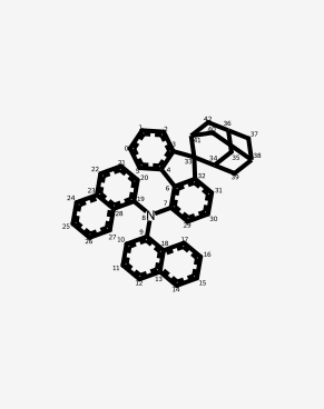 c1ccc2c(c1)-c1c(N(c3cccc4ccccc34)c3cccc4ccccc34)cccc1C21C2CC3CC(C2)CC1C3